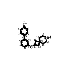 Fc1ccc(-c2cccc(OC3CC4(CCNCC4)C3)c2)cc1